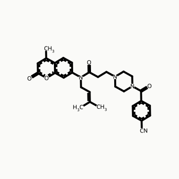 CC(C)=CCN(C(=O)CCN1CCN(C(=O)c2ccc(C#N)cc2)CC1)c1ccc2c(C)cc(=O)oc2c1